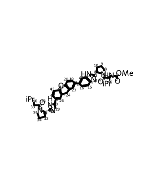 COC(=O)N[C@H](C(=O)N1CCC[C@H]1c1nc2ccc(-c3ccc4c(c3)Cc3cc(C5CN=C([C@@H]6CCCN6C(=O)CC(C)C)N5)ccc3O4)cc2[nH]1)C(C)C